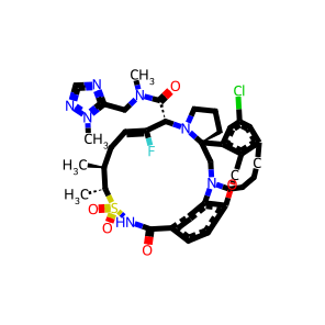 C[C@@H]1[C@@H](C)C/C=C(\F)[C@H](C(=O)N(C)Cc2ncnn2C)N2CCC[C@@]23CN2CCCCc4cc(Cl)cc3c4COc3ccc(cc32)C(=O)NS1(=O)=O